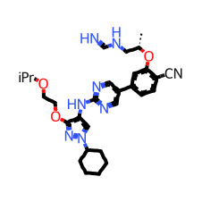 CC(C)OCCOc1nn(C2CCCCC2)cc1Nc1ncc(-c2ccc(C#N)c(O[C@@H](C)CNC=N)c2)cn1